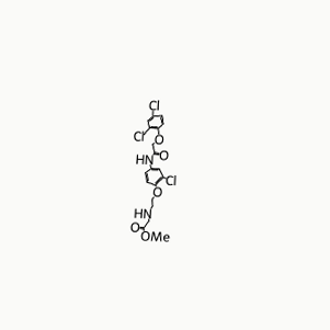 COC(=O)CNCCOc1ccc(NC(=O)COc2ccc(Cl)cc2Cl)cc1Cl